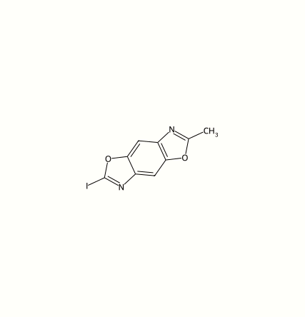 Cc1nc2cc3oc(I)nc3cc2o1